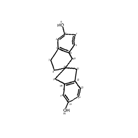 Oc1ccc2c(c1)CCC1(C2)Cc2ccc(O)cc2C1